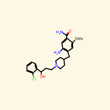 COc1cc(CC2CCN(CCC(O)c3ccccc3Cl)CC2)c(N)cc1C(N)=O